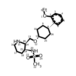 CCOc1ccccc1[C@H]1CC[C@@H](OC[C@@H]2NCCC[C@@H]2NS(C)(=O)=O)CC1